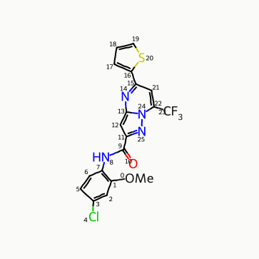 COc1cc(Cl)ccc1NC(=O)c1cc2nc(-c3cccs3)cc(C(F)(F)F)n2n1